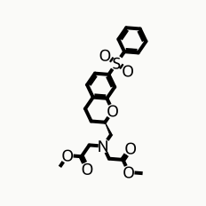 COC(=O)CN(CC(=O)OC)C[C@H]1CCc2ccc(S(=O)(=O)c3ccccc3)cc2O1